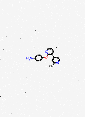 [C-]#[N+]c1cc(-c2cccnc2Oc2ccc(N)cc2)ccn1